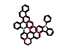 c1ccc(-n2c3ccccc3c3ccc(-c4cccc(N(c5ccccc5-c5cccc6c5ccc5ccccc56)c5ccccc5-c5cccc6cccc(C7CCCCC7)c56)c4)cc32)cc1